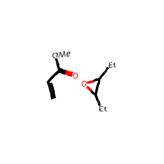 C=CC(=O)OC.CCC1OC1CC